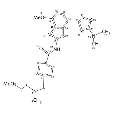 COCCN(C)Cc1ccc(C(=O)Nc2nc3c(OC)ccc(-c4csc(N(C)C)n4)c3s2)cc1